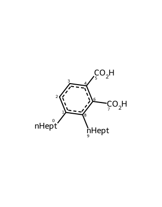 CCCCCCCc1ccc(C(=O)O)c(C(=O)O)c1CCCCCCC